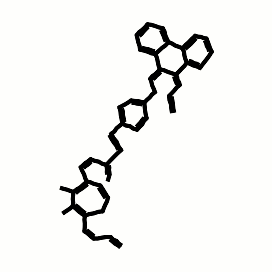 C=C/C=C\C1=C(C)C(C)=C(\C=C/C(=C\C)/C=C/c2ccc(C/C=c3\c(=C/C=C)c4ccccc4c4ccccc34)cc2)C=CC1